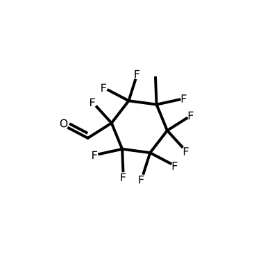 CC1(F)C(F)(F)C(F)(F)C(F)(F)C(F)(C=O)C1(F)F